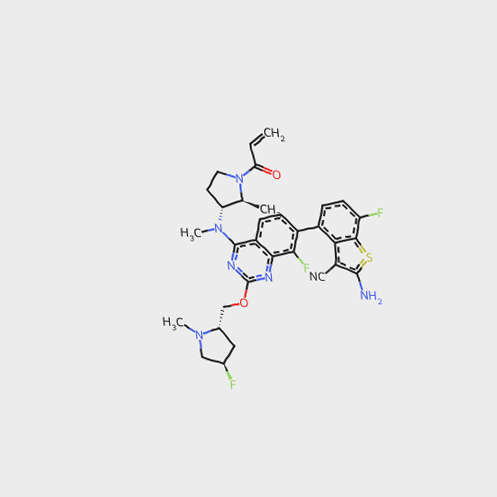 C=CC(=O)N1CC[C@@H](N(C)c2nc(OC[C@@H]3C[C@@H](F)CN3C)nc3c(F)c(-c4ccc(F)c5sc(N)c(C#N)c45)ccc23)[C@@H]1C